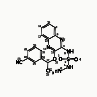 CCCNS(=O)(=O)Nc1nc2ccccc2nc1OC(c1cccc(C#N)c1)C(F)(F)F